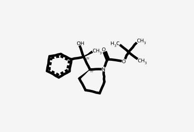 CC(C)(C)OC(=O)N1CCCC[C@H]1[C@@](C)(O)c1ccccc1